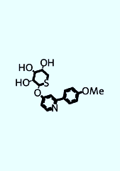 COc1ccc(-c2cc(O[C@H]3SC[C@@H](O)[C@H](O)[C@H]3O)ccn2)cc1